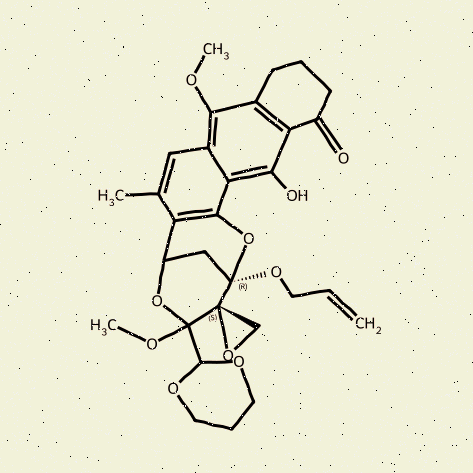 C=CCO[C@@]12CC(OC(OC)(C3OCCCO3)[C@]13CO3)c1c(C)cc3c(OC)c4c(c(O)c3c1O2)C(=O)CCC4